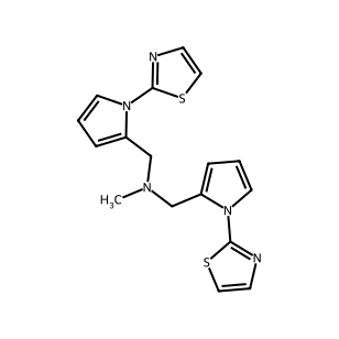 CN(Cc1cccn1-c1nccs1)Cc1cccn1-c1nccs1